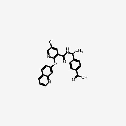 C[C@H](NC(=O)c1cc(Cl)cnc1Oc1ccc2cccnc2c1)c1ccc(C(=O)O)cc1